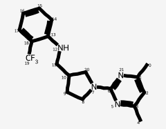 Cc1cc(C)nc(N2CCC(CNc3ccccc3C(F)(F)F)C2)n1